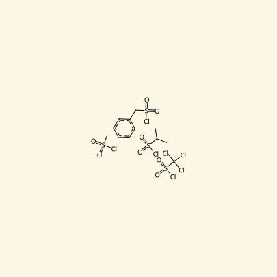 CC(C)S(=O)(=O)Cl.CS(=O)(=O)Cl.O=S(=O)(Cl)C(Cl)(Cl)Cl.O=S(=O)(Cl)Cc1ccccc1